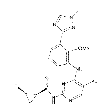 COc1c(Nc2nc(NC(=O)[C@H]3C[C@H]3F)ncc2C(C)=O)cccc1-c1ncn(C)n1